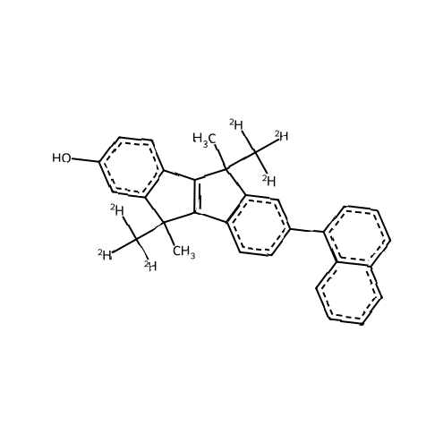 [2H]C([2H])([2H])C1(C)C2=C(c3ccc(O)cc31)C(C)(C([2H])([2H])[2H])c1cc(-c3cccc4ccccc34)ccc12